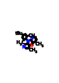 Cc1cncc2c1Oc1c(C)ccnc1N2c1c(C)cc(C(C)(C)C)cc1C